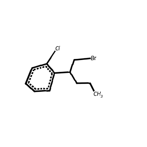 CCCC(CBr)c1ccccc1Cl